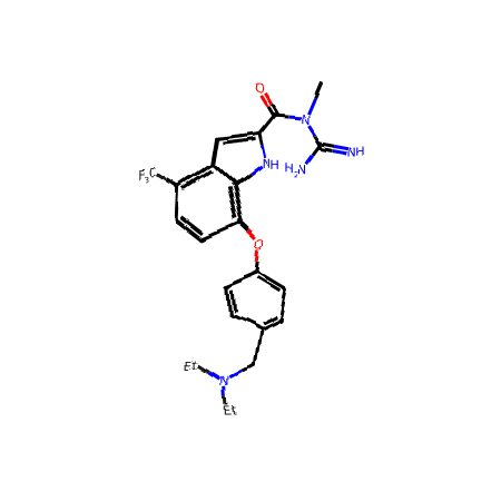 CCN(CC)Cc1ccc(Oc2ccc(C(F)(F)F)c3cc(C(=O)N(C)C(=N)N)[nH]c23)cc1